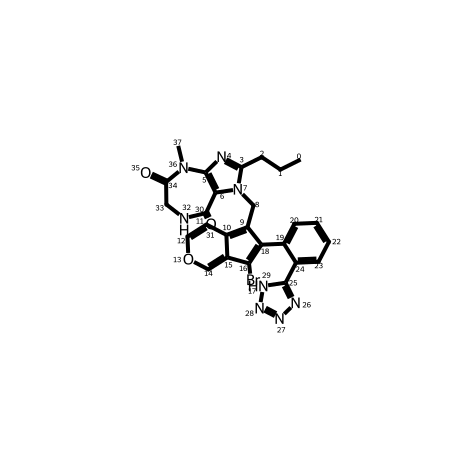 CCCc1nc2c(n1Cc1c3ccocc-3c(Br)c1-c1ccccc1-c1nnn[nH]1)C(=O)NCC(=O)N2C